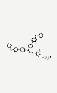 O=C(O)COc1ccc(SCC=C(c2ccc(-c3ccc(Oc4ccccc4)cc3)cc2)c2ccc(-c3ccc(Oc4ccccc4)cc3)cc2)cc1Cl